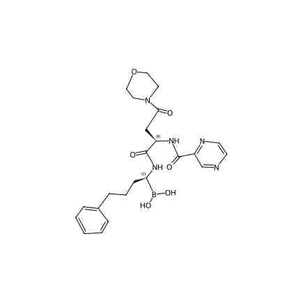 O=C(N[C@H](CC(=O)N1CCOCC1)C(=O)N[C@H](CCCc1ccccc1)B(O)O)c1cnccn1